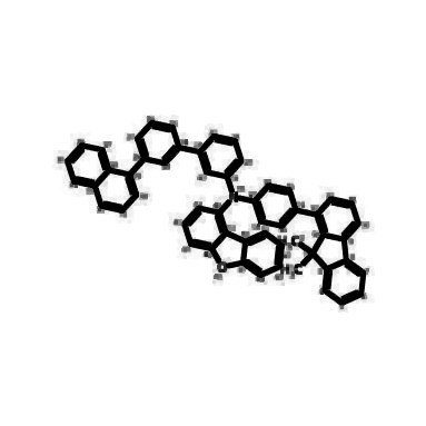 CC1(C)c2ccccc2-c2cccc(-c3ccc(N(c4cccc(-c5cccc(-c6cccc7ccccc67)c5)c4)c4cccc5oc6ccccc6c45)cc3)c21